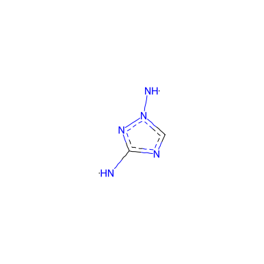 [NH]c1ncn([NH])n1